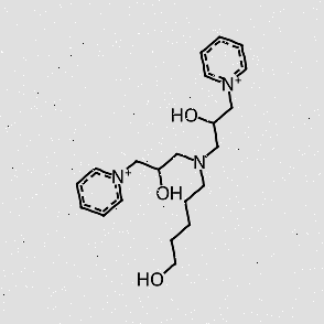 OCCCCCN(CC(O)C[n+]1ccccc1)CC(O)C[n+]1ccccc1